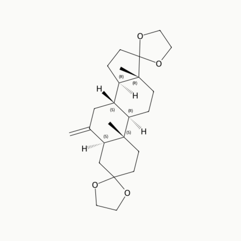 C=C1C[C@H]2[C@@H](CC[C@]3(C)[C@@H]2CCC32OCCO2)[C@]2(C)CCC3(C[C@@H]12)OCCO3